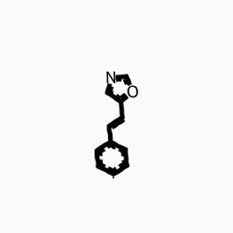 [c]1ccc(C=Cc2cnco2)cc1